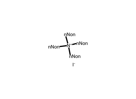 CCCCCCCCC[N+](CCCCCCCCC)(CCCCCCCCC)CCCCCCCCC.[I-]